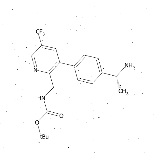 C[C@@H](N)c1ccc(-c2cc(C(F)(F)F)cnc2CNC(=O)OC(C)(C)C)cc1